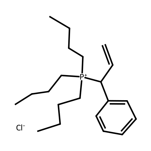 C=CC(c1ccccc1)[P+](CCCC)(CCCC)CCCC.[Cl-]